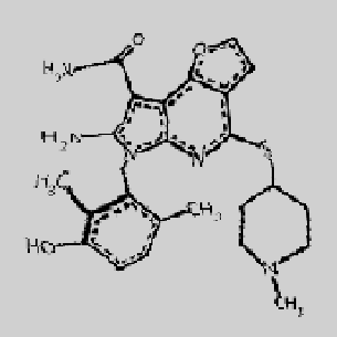 Cc1ccc(O)c(C)c1-n1c(N)c(C(N)=O)c2c3occc3c(SC3CCN(C)CC3)nc21